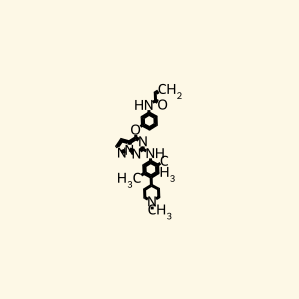 C=CC(=O)Nc1cccc(Oc2nc(Nc3cc(C)c(C4CCN(C)CC4)cc3C)nn3nccc23)c1